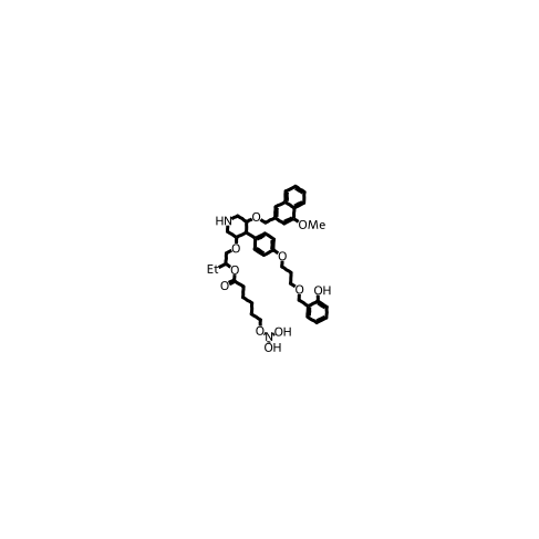 CCC(COC1CNCC(OCc2cc(OC)c3ccccc3c2)C1c1ccc(OCCCOCc2ccccc2O)cc1)OC(=O)CCCCCON(O)O